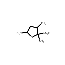 CC1CC(C(=O)O)OC1(C)C(=O)O